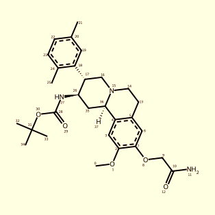 COc1cc2c(cc1OCC(N)=O)CCN1C[C@@H](c3cc(C)ccc3C)[C@H](NC(=O)OC(C)(C)C)C[C@H]21